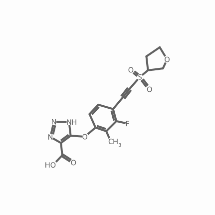 Cc1c(Oc2[nH]nnc2C(=O)O)ccc(C#CS(=O)(=O)C2CCOC2)c1F